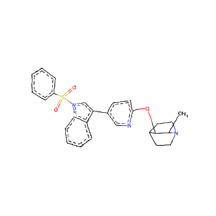 CC1C(Oc2ccc(-c3cn(S(=O)(=O)c4ccccc4)c4ccccc34)cn2)C2CCN1CC2